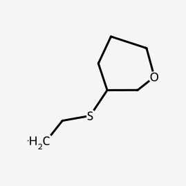 [CH2]CSC1CCCOC1